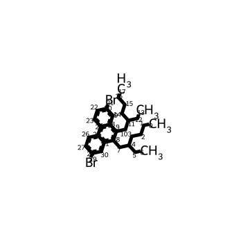 CCCCC(CC)Cc1c(CC(CC)CCCC)c2cc(Br)ccc2c2ccc(Br)cc12